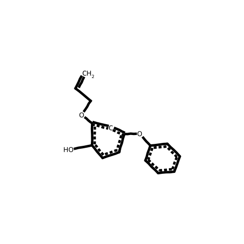 C=CCOc1cc(Oc2ccccc2)ccc1O